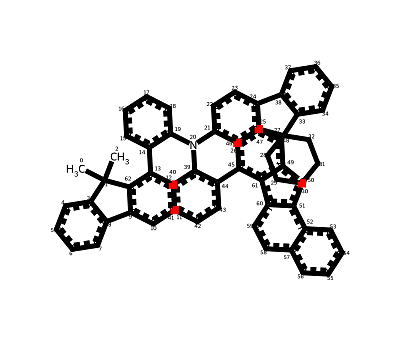 CC1(C)c2ccccc2-c2cccc(-c3ccccc3N(c3ccc4c(c3)C3(CCCCC3)c3ccccc3-4)c3ccccc3-c3cccc4oc5c6ccccc6ccc5c34)c21